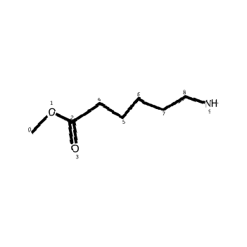 COC(=O)CCCCC[NH]